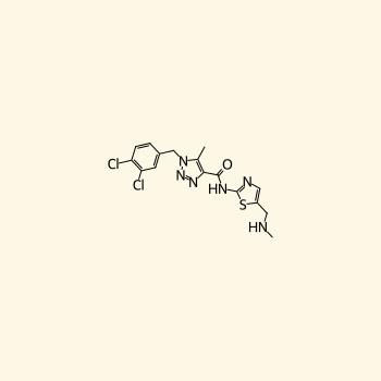 CNCc1cnc(NC(=O)c2nnn(Cc3ccc(Cl)c(Cl)c3)c2C)s1